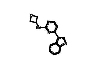 c1ccc2c(c1)ncn2-c1ccnc(NC2COC2)n1